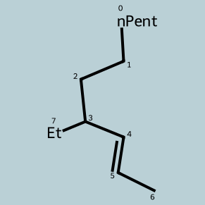 [CH2]CCCCCCC(C=CC)C[CH2]